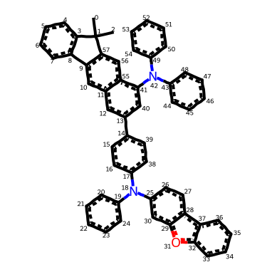 CC1(C)c2ccccc2-c2cc3cc(-c4ccc(N(c5ccccc5)c5ccc6c(c5)oc5ccccc56)cc4)cc(N(c4ccccc4)c4ccccc4)c3cc21